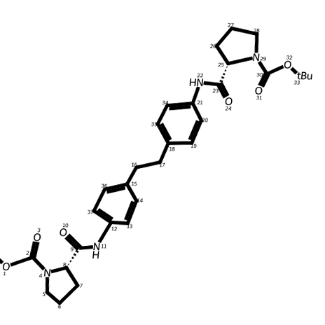 CC(C)(C)OC(=O)N1CCC[C@H]1C(=O)Nc1ccc(CCc2ccc(NC(=O)[C@@H]3CCCN3C(=O)OC(C)(C)C)cc2)cc1